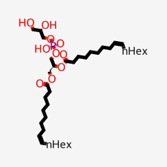 CCCCCC/C=C\CCCCCCCC(=O)OC[C@H](COP(=O)(O)OC[C@@H](O)CO)OC(=O)CCCCCCC/C=C\CCCCCC